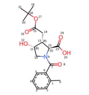 Cc1ccccc1C(=O)N1C[C@H](O)[C@H](CC(=O)OC(C)(C)C)[C@H]1C(=O)O